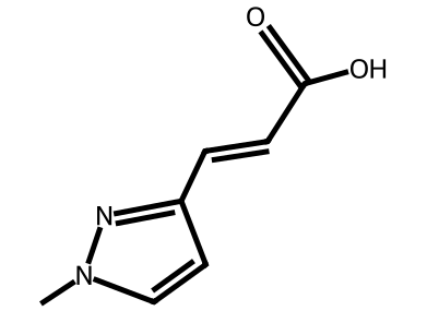 Cn1ccc(C=CC(=O)O)n1